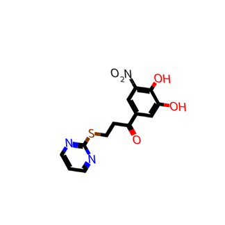 O=C(CCSc1ncccn1)c1cc(O)c(O)c([N+](=O)[O-])c1